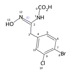 O=C(O)N/C(Cc1ccc(Br)c(Cl)c1)=N/O